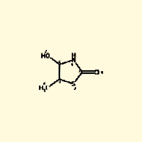 CC1SC(=O)NC1O